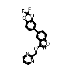 FC1(F)Oc2ccc(-c3ccc4onc(OCc5ncccn5)c4c3)cc2O1